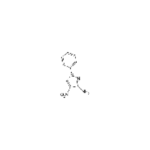 Nc1nn(-c2ccccc2)cc1[N+](=O)[O-]